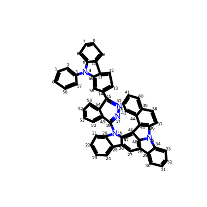 c1ccc(-n2c3ccccc3c3ccc(-c4nnc(-n5c6ccccc6c6cc7c8ccccc8n8c9ccc%10ccccc%10c9c(c65)c78)c5ccccc45)cc32)cc1